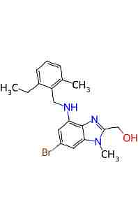 CCc1cccc(C)c1CNc1cc(Br)cc2c1nc(CO)n2C